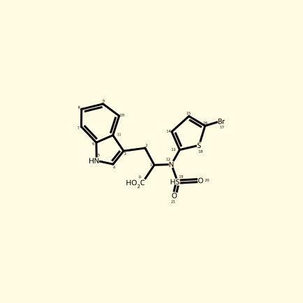 O=C(O)C(Cc1c[nH]c2ccccc12)N(c1ccc(Br)s1)[SH](=O)=O